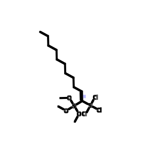 CCCCCCCCC/C=C(/[Si](Cl)(Cl)Cl)[Si](OC)(OC)OC